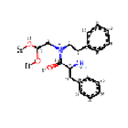 CCOC(CN(CCc1ccccc1)C(=O)C(N)Cc1ccccc1)OCC